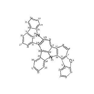 c1ccc2c(c1)oc1ccc3c4cc5c(c6cccc7c8ccccc8n5c76)c5c6ccccc6n(c3c12)c45